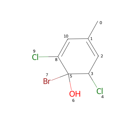 CC1=CC(Cl)C(O)(Br)C(Cl)=C1